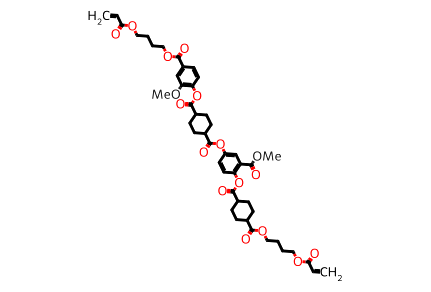 C=CC(=O)OCCCCOC(=O)c1ccc(OC(=O)C2CCC(C(=O)Oc3ccc(OC(=O)C4CCC(C(=O)OCCCCOC(=O)C=C)CC4)c(C(=O)OC)c3)CC2)c(OC)c1